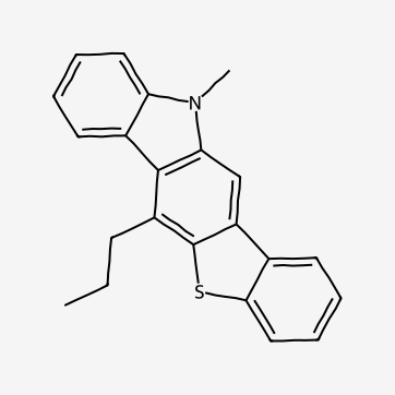 CCCc1c2sc3ccccc3c2cc2c1c1ccccc1n2C